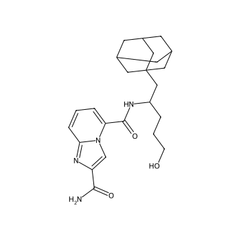 NC(=O)c1cn2c(C(=O)NC(CCCO)CC34CC5CC(CC(C5)C3)C4)cccc2n1